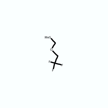 CSCOCC(F)(F)F